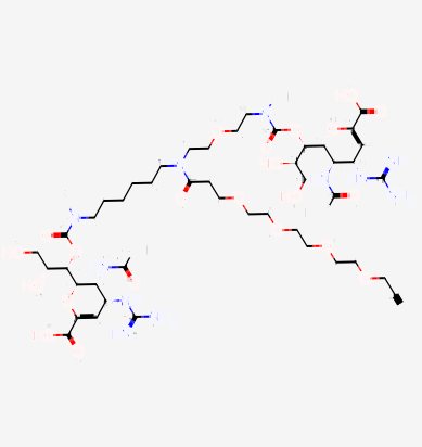 C#CCOCCOCCOCCOCCC(=O)N(CCCCCCN(C)C(=O)O[C@@H]([C@@H]1OC(C(=O)O)=C[C@H](NC(=N)N)[C@H]1NC(C)=O)[C@H](O)CO)CCOCCN(C)C(=O)O[C@@H]([C@@H]1OC(C(=O)O)=C[C@H](NC(=N)N)[C@H]1NC(C)=O)[C@H](O)CO